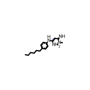 CCCCCCc1ccc(N/C(N)=C/C(=N)N(C)C)cc1